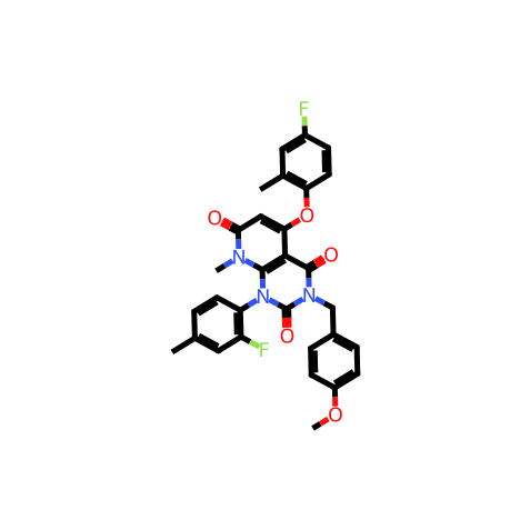 COc1ccc(Cn2c(=O)c3c(Oc4ccc(F)cc4C)cc(=O)n(C)c3n(-c3ccc(C)cc3F)c2=O)cc1